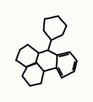 c1ccc(C2CCCCC2)c([C](C2CCCCC2)C2CCCCC2)c1